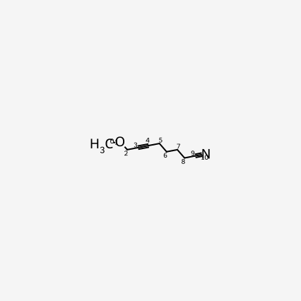 COCC#CCCCCC#N